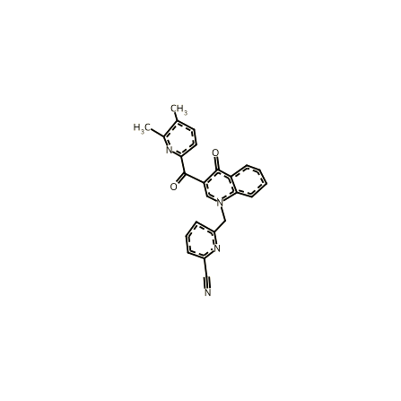 Cc1ccc(C(=O)c2cn(Cc3cccc(C#N)n3)c3ccccc3c2=O)nc1C